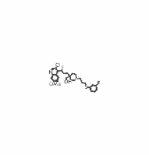 COc1ccc2ncc(Cl)c([C@@H](F)CCC3(CO)CCN(CCCSc4cccc(F)c4)CC3)c2c1